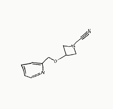 N#CN1CC(OCc2ccccn2)C1